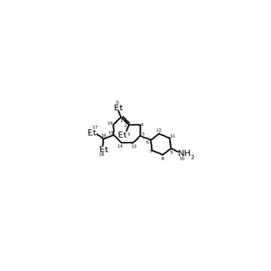 CC/C1=C(/CC)CC(C2CCC(N)CC2)CCC(C(CC)CC)C1